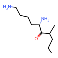 CCCC(C)C(=O)[C@@H](N)CCCCN